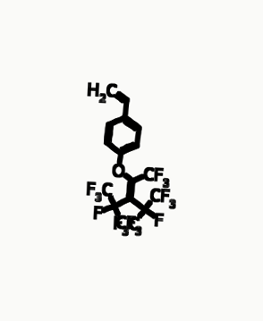 C=Cc1ccc(OC(=C(C(F)(C(F)(F)F)C(F)(F)F)C(F)(C(F)(F)F)C(F)(F)F)C(F)(F)F)cc1